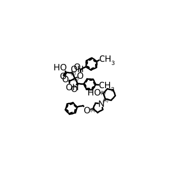 Cc1ccc(C(=O)O[C@](C(=O)O)(C(=O)c2ccc(C)cc2)[C@@H](O)C(=O)O)cc1.O[C@@H]1CCCC[C@H]1N1CC[C@@H](OCc2ccccc2)C1